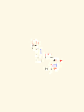 CS(=O)(=O)Nc1cc(CC(O)CNC(Cc2ccccc2)c2ccc3c(c2)OCCO3)ccc1O